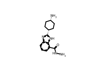 NNC(=O)c1cccc2nc([C@H]3CC[C@@H](N)CC3)[nH]c12